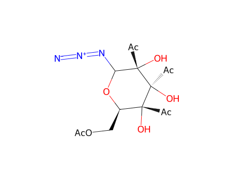 CC(=O)OC[C@H]1OC(N=[N+]=[N-])[C@@](O)(C(C)=O)[C@](O)(C(C)=O)[C@@]1(O)C(C)=O